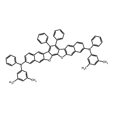 Cc1cc(C)cc(N(c2ccccc2)c2ccc3cc4c(cc3c2)oc2c3oc5cc6cc(N(c7ccccc7)c7cc(C)cc(C)c7)ccc6cc5c3c(-c3ccccc3)c(-c3ccccc3)c42)c1